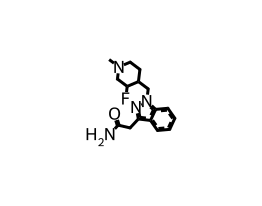 CN1CCC(Cn2nc(CC(N)=O)c3ccccc32)C(F)C1